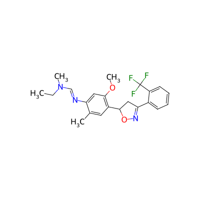 CCN(C)C=Nc1cc(OC)c(C2CC(c3ccccc3C(F)(F)F)=NO2)cc1C